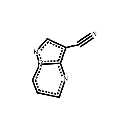 N#Cc1cnn2cccnc12